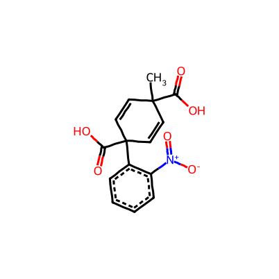 CC1(C(=O)O)C=CC(C(=O)O)(c2ccccc2[N+](=O)[O-])C=C1